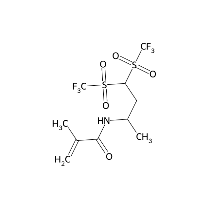 C=C(C)C(=O)NC(C)CC(S(=O)(=O)C(F)(F)F)S(=O)(=O)C(F)(F)F